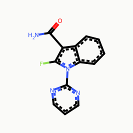 NC(=O)c1c(F)n(-c2ncccn2)c2ccccc12